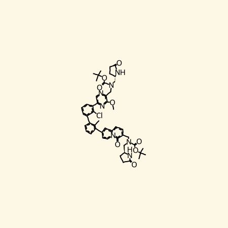 COc1nc(-c2cccc(-c3cccc(-c4ccn5c(=O)c(CN(C[C@@H]6CCC(=O)N6)C(=O)OC(C)(C)C)ccc5c4)c3C)c2Cl)cnc1CN(C[C@@H]1CCC(=O)N1)C(=O)OC(C)(C)C